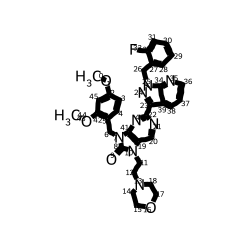 COc1ccc(Cn2c(=O)n(CCN3CCOCC3)c3cnc(-c4nn(Cc5ccccc5F)c5ncccc45)nc32)c(OC)c1